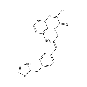 CC(=O)C(=Cc1cccc([N+](=O)[O-])c1)C(=O)OCC=Cc1ccc(Cc2ncc[nH]2)cc1